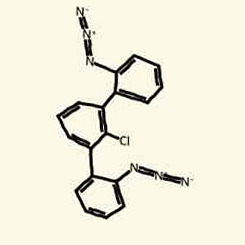 [N-]=[N+]=Nc1ccccc1-c1cccc(-c2ccccc2N=[N+]=[N-])c1Cl